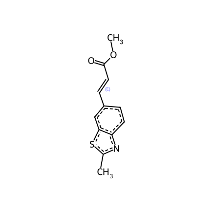 COC(=O)/C=C/c1ccc2nc(C)sc2c1